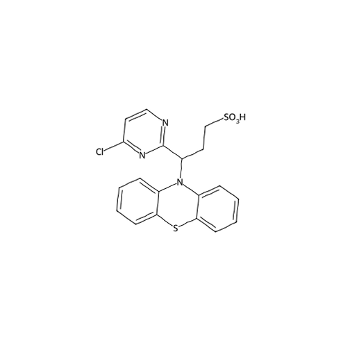 O=S(=O)(O)CCC(c1nccc(Cl)n1)N1c2ccccc2Sc2ccccc21